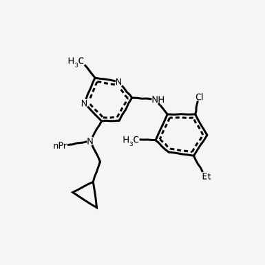 CCCN(CC1CC1)c1cc(Nc2c(C)cc(CC)cc2Cl)nc(C)n1